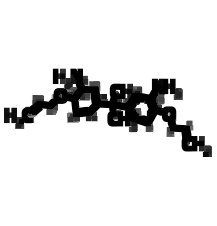 C=CCOc1ccc(C(C)(C)C2=CC(N)C(OCC=C)C=C2)cc1N